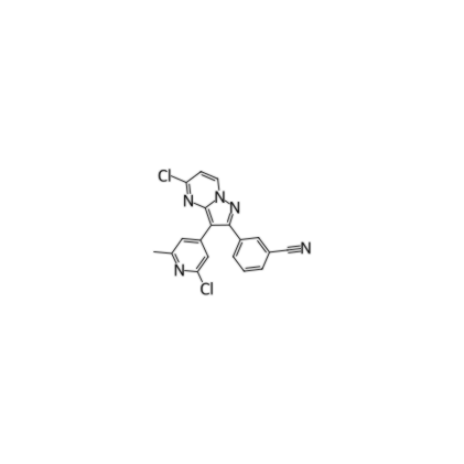 Cc1cc(-c2c(-c3cccc(C#N)c3)nn3ccc(Cl)nc23)cc(Cl)n1